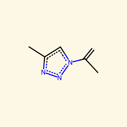 C=C(C)n1cc(C)nn1